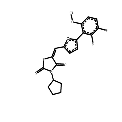 CCOc1ccc(F)c(F)c1-c1ccc(/C=C2/SC(=S)N(C3CCCC3)C2=O)o1